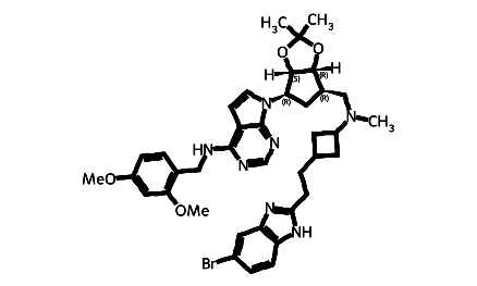 COc1ccc(CNc2ncnc3c2ccn3[C@@H]2C[C@H](CN(C)C3CC(CCc4nc5cc(Br)ccc5[nH]4)C3)[C@H]3OC(C)(C)O[C@H]32)c(OC)c1